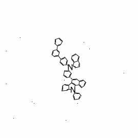 c1ccc(-c2cccc(-c3ccc(N(c4cccc(-c5cc6ccccc6c6c5c5ccccc5n6-c5ccccc5)c4)c4cccc5ccccc45)cc3)c2)cc1